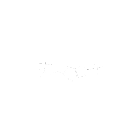 CC1(C)OB(c2ccc3cc([Si](C)(C)C)sc3c2)OC1(C)C